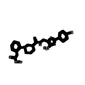 COC(=O)Cc1ccccc1N1CCCC(C(=O)NCc2sc(-c3ccc(Cl)cc3)nc2C)C1